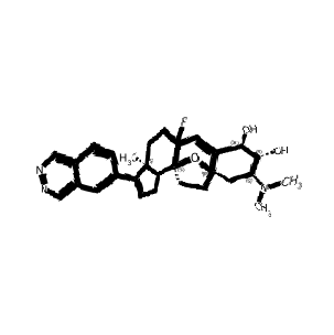 CN(C)[C@H]1C[C@@]23CC[C@]4(O2)C2CC=C(c5ccc6cnncc6c5)[C@@]2(C)CCC4(F)C=C3[C@@H](O)[C@@H]1O